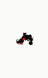 CC(=O)O[C@H]1CC[C@]2(C)[C@H]3CC[C@@H]4[C@H]5[C@H](C6(C)CC6)CC[C@]5(C(=O)N5CCCC5c5ncc(-c6ccccc6)[nH]5)CC[C@@]4(C)[C@]3(C)CC[C@H]2C1(C)C